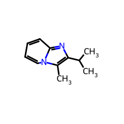 Cc1c(C(C)C)nc2ccccn12